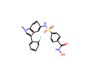 Cn1cc(-c2ccccc2F)c2cc(NS(=O)(=O)c3ccc(C(=O)NO)cc3)ccc21